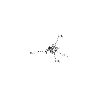 CCCCCCCCC(=O)OC[C@@H](O)[C@@H](O)[C@@](O)(C(=O)CCCCCCCC)[C@](O)(C(=O)CCCCCCCC)C(O)C(=O)CCCCCCCC